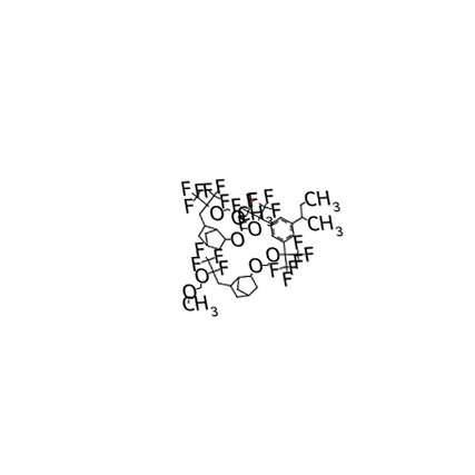 CCC(C)c1cc(C(OCOC2CC3CC(CC(F)(OCOC)C(F)(F)F)C2C3)(C(F)(F)F)C(F)(F)F)cc(C(OCOC2CC3CC(CC(OCOC)(C(F)(F)F)C(F)(F)F)C2C3)(C(F)(F)F)C(F)(F)F)c1